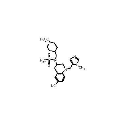 Cn1cncc1CN1CC(N(CC2CCN(C(=O)O)CC2)S(C)(=O)=O)Cc2cc(C#N)ccc21